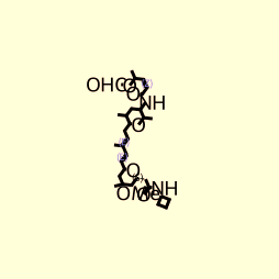 COC1(C)CC(/C=C/C(C)=C/CC2OC(C)C(NC(=O)/C=C\C(C)OC=O)CC2C)O[C@H](CC(=O)NC2CCC2)C1